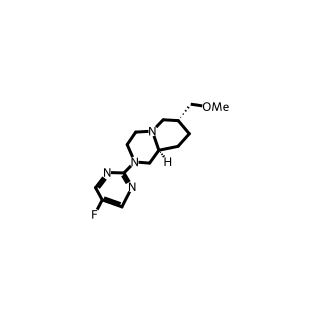 COC[C@@H]1CC[C@H]2CN(c3ncc(F)cn3)CCN2C1